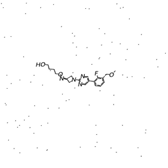 COCc1cccc(-c2cnc(N3CC(=NOCCCCO)C3)nc2)c1F